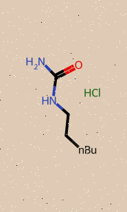 CCCCCCNC(N)=O.Cl